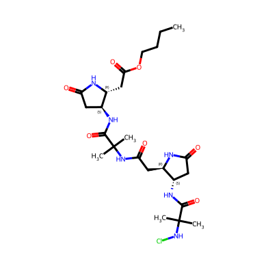 CCCCOC(=O)C[C@H]1NC(=O)C[C@@H]1NC(=O)C(C)(C)NC(=O)C[C@H]1NC(=O)C[C@@H]1NC(=O)C(C)(C)NCl